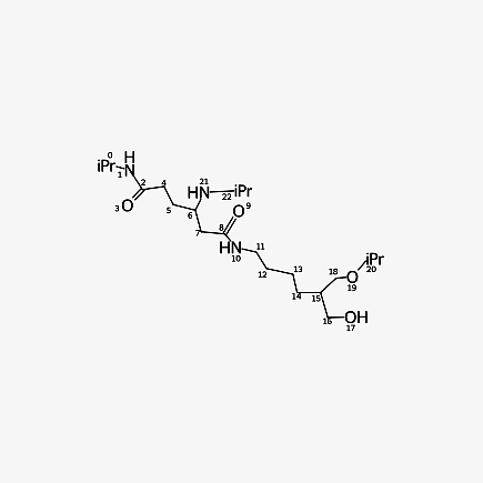 CC(C)NC(=O)CCC(CC(=O)NCCCCC(CO)COC(C)C)NC(C)C